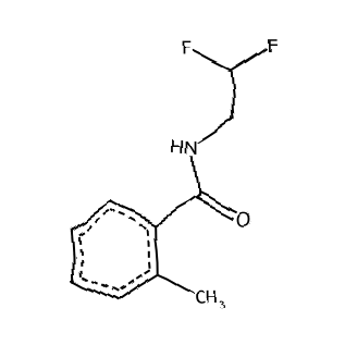 Cc1ccccc1C(=O)NCC(F)F